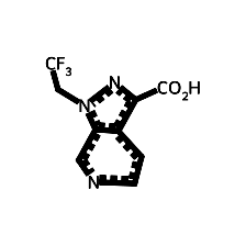 O=C(O)c1nn(CC(F)(F)F)c2cnccc12